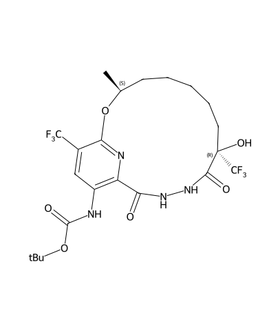 C[C@H]1CCCCC[C@](O)(C(F)(F)F)C(=O)NNC(=O)c2nc(c(C(F)(F)F)cc2NC(=O)OC(C)(C)C)O1